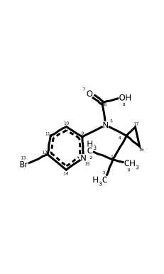 CC(C)(C)C1(N(C(=O)O)c2ccc(Br)cn2)CC1